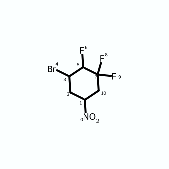 O=[N+]([O-])C1CC(Br)C(F)C(F)(F)C1